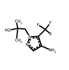 CC(C)(O)Cn1ncc(N)c1C(F)(F)F